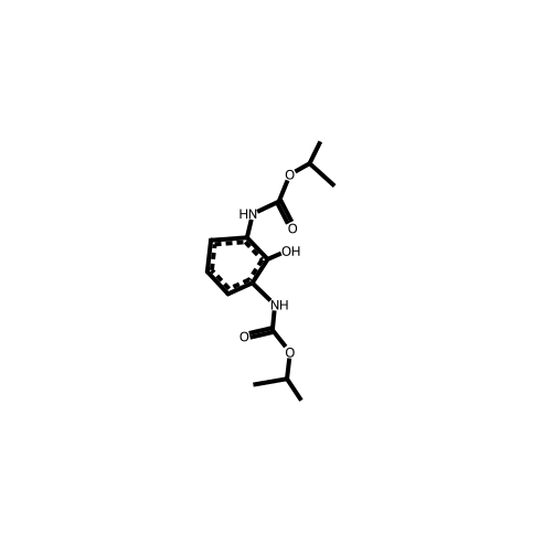 CC(C)OC(=O)Nc1cccc(NC(=O)OC(C)C)c1O